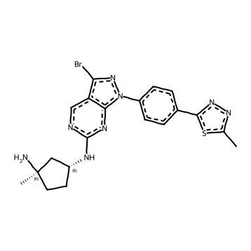 Cc1nnc(-c2ccc(-n3nc(Br)c4cnc(N[C@@H]5CC[C@@](C)(N)C5)nc43)cc2)s1